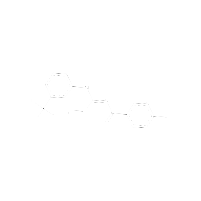 CS/C(=N\C(=O)c1ccc(Cl)nc1)Nc1cccc(C(F)(F)F)c1